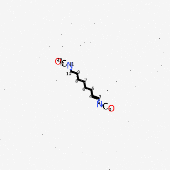 O=C=NC=CCCCCCCN=C=O